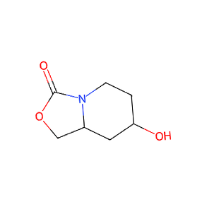 O=C1OCC2CC(O)CCN12